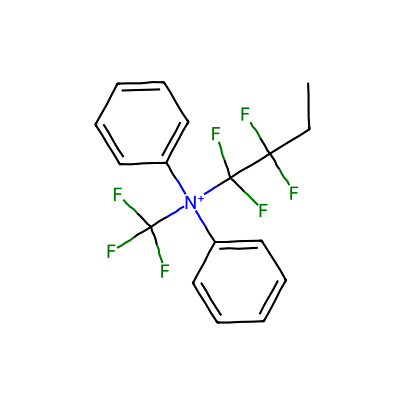 CCC(F)(F)C(F)(F)[N+](c1ccccc1)(c1ccccc1)C(F)(F)F